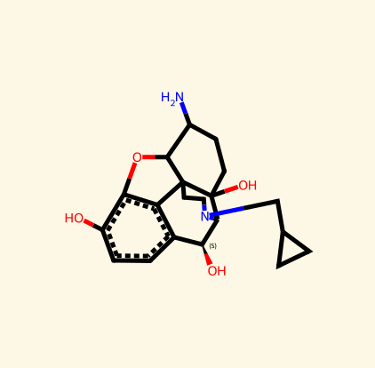 NC1CCC2(O)C3[C@@H](O)c4ccc(O)c5c4C2(CCN3CC2CC2)C1O5